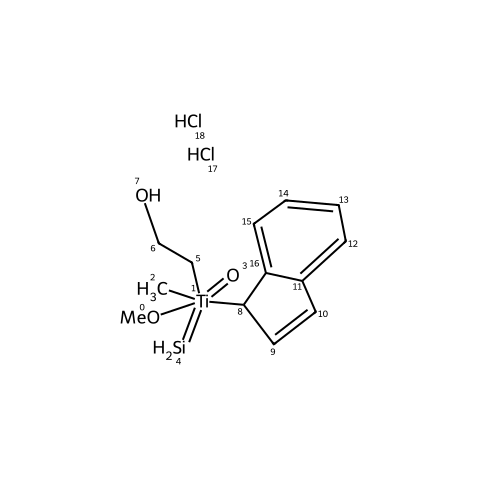 C[O][Ti]([CH3])(=[O])(=[SiH2])([CH2]CO)[CH]1C=Cc2ccccc21.Cl.Cl